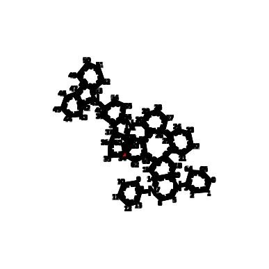 c1ccc(-n2ccn(-c3ccccc3)c3cc4c(cc32)c2ccccc2c2cccc(-n3c5ccccc5c5cc(-n6c7ccccc7c7ccccc76)ccc53)c2c2ccccc42)cc1